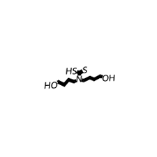 OCCCCN(CCCCO)C(=S)S